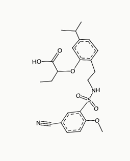 CCC(Oc1cc(C(C)C)ccc1CCNS(=O)(=O)c1cc(C#N)ccc1OC)C(=O)O